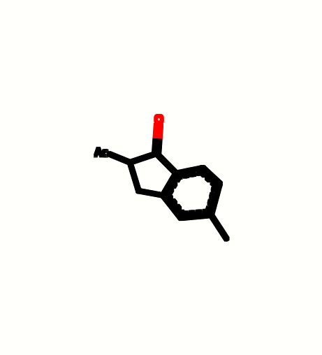 CC(=O)C1Cc2cc(C)ccc2C1=O